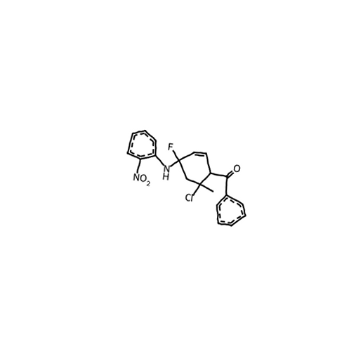 CC1(Cl)CC(F)(Nc2ccccc2[N+](=O)[O-])C=CC1C(=O)c1ccccc1